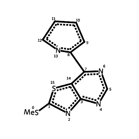 CSc1nc2ncnc(-c3ccccn3)c2s1